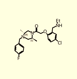 CCNCc1cc(Cl)ccc1OCC(=O)N1C[C@@H](C)N(Cc2ccc(F)cc2)C[C@@H]1C